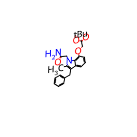 Cc1c(Cc2ccccc2)c2cccc(OCC(=O)OC(C)(C)C)c2n1CC(N)=O